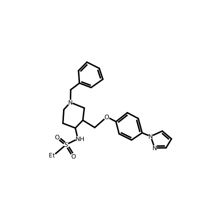 CCS(=O)(=O)NC1CCN(Cc2ccccc2)CC1COc1ccc(-n2cccn2)cc1